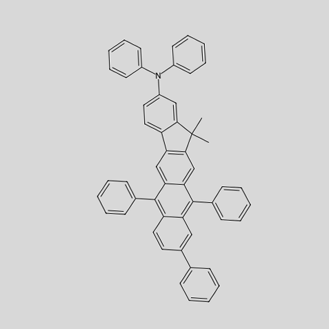 CC1(C)c2cc(N(c3ccccc3)c3ccccc3)ccc2-c2cc3c(-c4ccccc4)c4ccc(-c5ccccc5)cc4c(-c4ccccc4)c3cc21